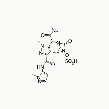 CN(C)C(=O)C1c2c(c(C(=O)Nc3ccnn3C)nn2C)C2CN1C(=O)N2OS(=O)(=O)O